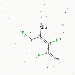 C=C(F)/C(F)=C(\CF)C(C)(C)C